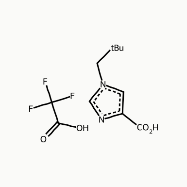 CC(C)(C)Cn1cnc(C(=O)O)c1.O=C(O)C(F)(F)F